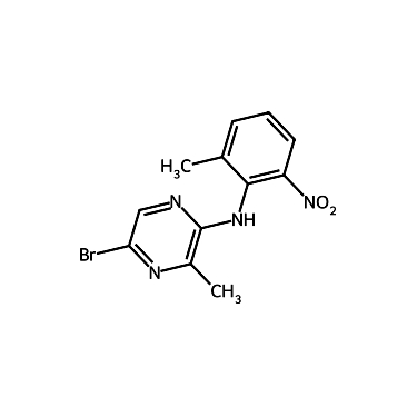 Cc1cccc([N+](=O)[O-])c1Nc1ncc(Br)nc1C